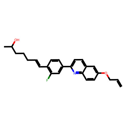 C=CCOc1ccc2nc(-c3ccc(/C=C/CCCC(C)O)c(F)c3)ccc2c1